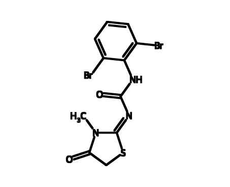 CN1C(=O)CS/C1=N/C(=O)Nc1c(Br)cccc1Br